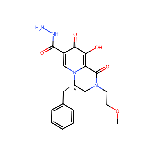 COCCN1C[C@H](Cc2ccccc2)n2cc(C(=O)NN)c(=O)c(O)c2C1=O